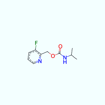 CC(C)NC(=O)OCc1ncccc1F